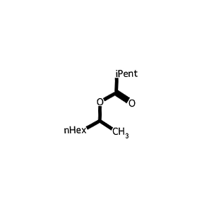 CCCCCCC(C)OC(=O)C(C)CCC